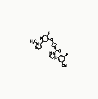 Cn1nccc1-c1cc(OC2CN(C(=O)N3N=CC[C@H]3c3cc(F)cc(C#N)c3)C2)c(F)cn1